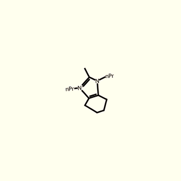 CCCn1c2c([n+](CCC)c1C)CCCC2